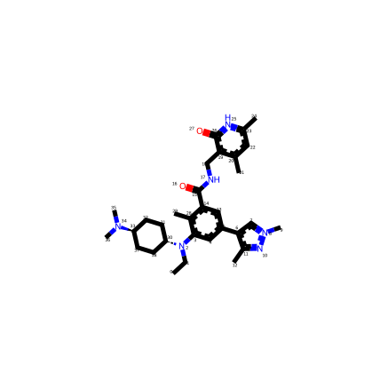 CCN(c1cc(-c2cn(C)nc2C)cc(C(=O)NCc2c(C)cc(C)[nH]c2=O)c1C)[C@H]1CC[C@H](N(C)C)CC1